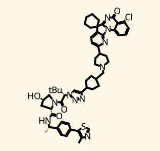 Cc1ncsc1-c1ccc([C@H](C)NC(=O)[C@@H]2C[C@@H](O)CN2C(=O)[C@@H](n2cc(C3CCC(CN4CCC(c5ccc6c(n5)-n5c(nc(=O)c7c(Cl)cccc75)C65CCCCC5)CC4)CC3)nn2)C(C)(C)C)cc1